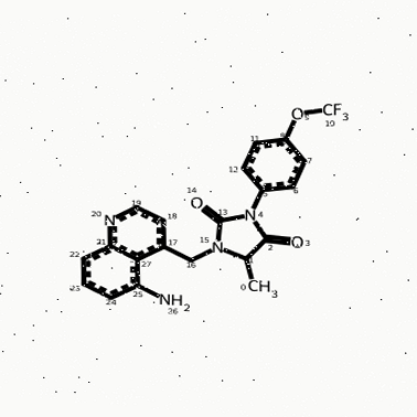 CC1C(=O)N(c2ccc(OC(F)(F)F)cc2)C(=O)N1Cc1ccnc2cccc(N)c12